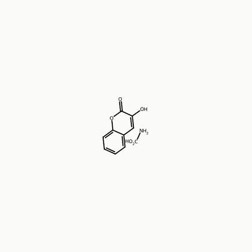 NC(=O)O.O=c1oc2ccccc2cc1O